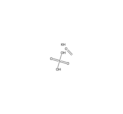 C=O.O=S(=O)(O)O.[KH]